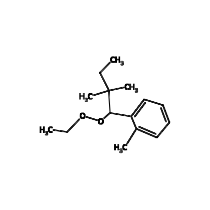 CCOOC(c1ccccc1C)C(C)(C)CC